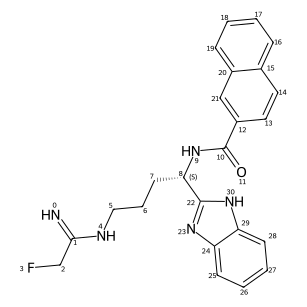 N=C(CF)NCCC[C@H](NC(=O)c1ccc2ccccc2c1)c1nc2ccccc2[nH]1